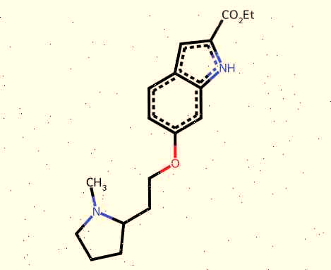 CCOC(=O)c1cc2ccc(OCCC3CCCN3C)cc2[nH]1